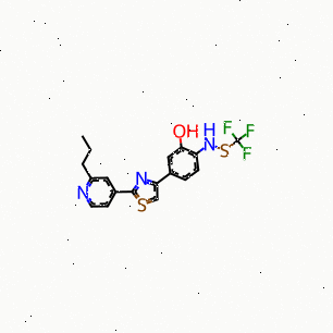 CCCc1cc(-c2nc(-c3ccc(NSC(F)(F)F)c(O)c3)cs2)ccn1